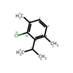 Cc1ccc(C)c(C(C)C)c1Cl